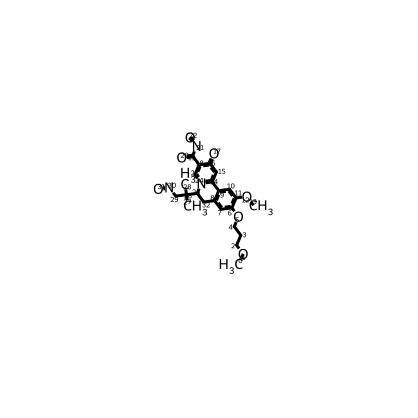 COCCCOc1cc2c(cc1OC)-c1cc(=O)c(C(=O)N=O)cn1C(C(C)(C)CN=O)C2